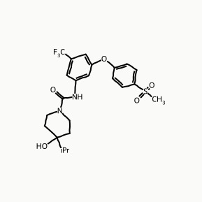 CC(C)C1(O)CCN(C(=O)Nc2cc(Oc3ccc(S(C)(=O)=O)cc3)cc(C(F)(F)F)c2)CC1